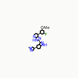 COc1cc(F)cc(-c2ccnc3[nH]c(-c4n[nH]c5ccc(-c6cnn(C)c6)cc45)nc23)c1